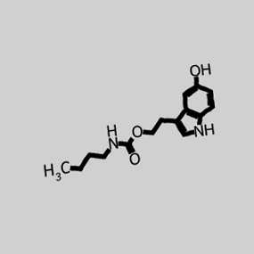 CCCCNC(=O)OCCc1c[nH]c2ccc(O)cc12